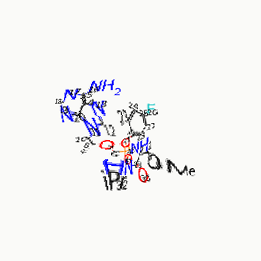 COC[C@H](NP(=O)(CO[C@H](C)Cn1cnc2c(N)ncnc21)Oc1ccc(F)cc1)C(=O)NC(C)C